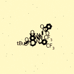 CC(C)(C)OC(=O)N1CCC[C@H](N(Cc2cc(C(F)(F)F)cc(C(F)(F)F)c2)c2nnn(CCN3C(=O)c4ccccc4C3=O)n2)c2cc3c(cc21)COC3